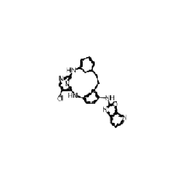 Clc1cnc2nc1Nc1ccc(Nc3nc4cccnc4o3)c(c1)CCC1C=CC=C(C1)N2